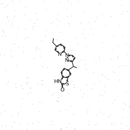 CCc1ccc(-n2ccc(C(C)c3ccc4[nH]c(=O)sc4c3)n2)nc1